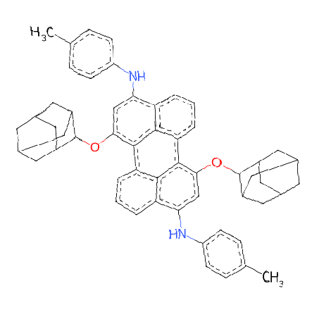 Cc1ccc(Nc2cc(OC3C4CC5CC(C4)CC3C5)c3c4cccc5c(Nc6ccc(C)cc6)cc(OC6C7CC8CC(C7)CC6C8)c(c6cccc2c63)c54)cc1